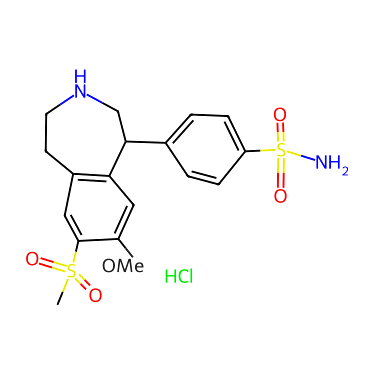 COc1cc2c(cc1S(C)(=O)=O)CCNCC2c1ccc(S(N)(=O)=O)cc1.Cl